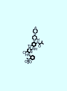 COc1cc(N2CCC(N3CCN(C)CC3)CC2)c(NC(=O)C(C)C)cc1Nc1ncc(Cl)c(Nc2ccccc2N(C)S(C)(=O)=O)n1